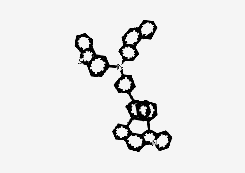 c1ccc(-c2c3c4c(-c5cccc(-c6ccc(N(c7ccc8c(ccc9ccccc98)c7)c7ccc8sc9ccccc9c8c7)cc6)c5)cccc4ccc3n3ccccc23)cc1